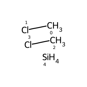 CCl.CCl.[SiH4]